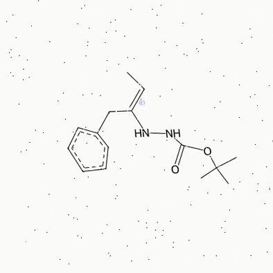 C/C=C(\Cc1ccccc1)NNC(=O)OC(C)(C)C